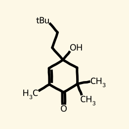 CC1=CC(O)(CCC(C)(C)C)CC(C)(C)C1=O